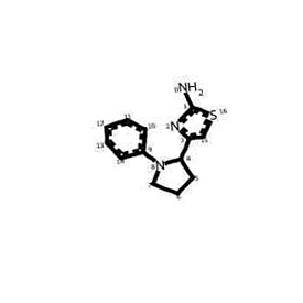 Nc1nc(C2CCCN2c2ccccc2)cs1